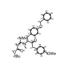 CN/C(=N/C(=O)OC(C)(C)C)N(C)C(Cc1ccc(OCc2ccccc2)cc1)C(=O)Cc1ccc(OC)cc1